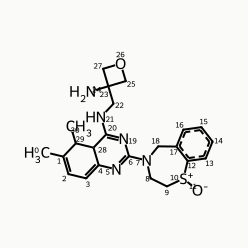 CC1=CC=C2N=C(N3CC[S+]([O-])c4ccccc4C3)N=C(NCC3(N)COC3)C2C1C